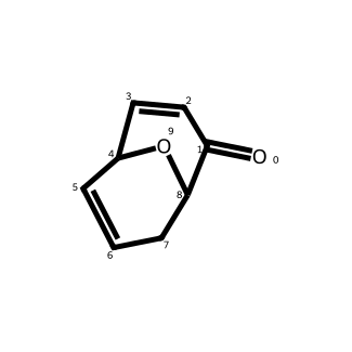 O=C1C=CC2C=CCC1O2